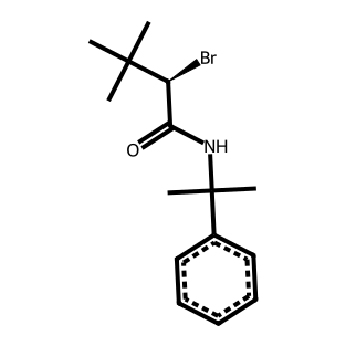 CC(C)(NC(=O)[C@H](Br)C(C)(C)C)c1ccccc1